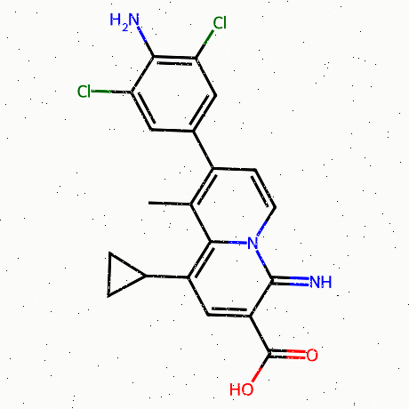 Cc1c(-c2cc(Cl)c(N)c(Cl)c2)ccn2c(=N)c(C(=O)O)cc(C3CC3)c12